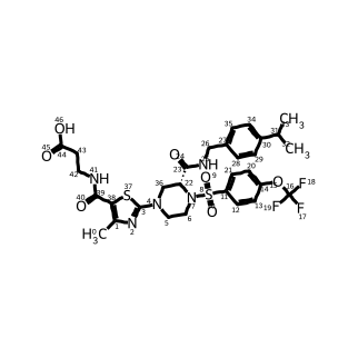 Cc1nc(N2CCN(S(=O)(=O)c3ccc(OC(F)(F)F)cc3)[C@@H](C(=O)NCc3ccc(C(C)C)cc3)C2)sc1C(=O)NCCC(=O)O